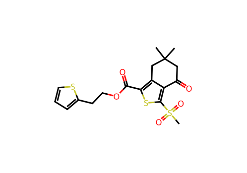 CC1(C)CC(=O)c2c(S(C)(=O)=O)sc(C(=O)OCCc3cccs3)c2C1